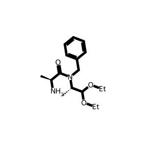 CCOC(OCC)[C@H](C)N(Cc1ccccc1)C(=O)[C@H](C)N